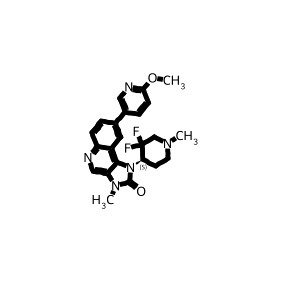 COc1ccc(-c2ccc3ncc4c(c3c2)n([C@H]2CCN(C)CC2(F)F)c(=O)n4C)cn1